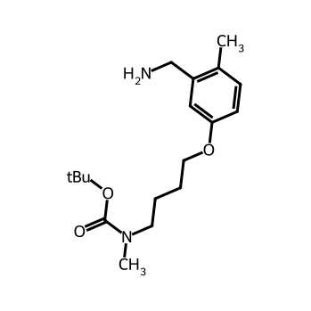 Cc1ccc(OCCCCN(C)C(=O)OC(C)(C)C)cc1CN